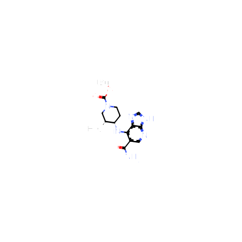 C[C@H]1CN(C(=O)OC(C)(C)C)CC[C@H]1Nc1c(C(N)=O)cnc2[nH]cnc12